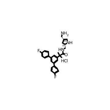 CC(C)(C(=O)NC[C@@H]1C[C@H](CN)CN1)c1cc(-c2ccc(F)cc2)cc(-c2ccc(F)cc2)c1.Cl